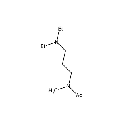 CCN(CC)CCCN(C)C(C)=O